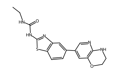 CCNC(=O)Nc1nc2cc(-c3cnc4c(c3)OCCN4)ccc2s1